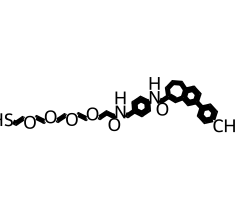 Cc1ccc(-c2ccc3c(c2)C=C(C(=O)Nc2ccc(CNC(=O)CCOCCOCCOCCOCCS)cc2)CCC3)cc1